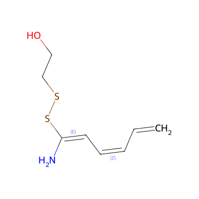 C=C/C=C\C=C(/N)SSCCO